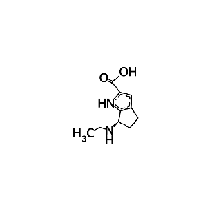 CCN[C@@H]1CCc2cc(C(=O)O)[nH]c21